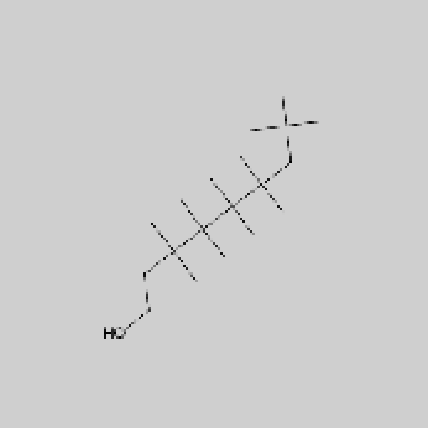 CC(C)(C)CC(C)(C)C(C)(C)C(C)(C)C(C)(C)CCO